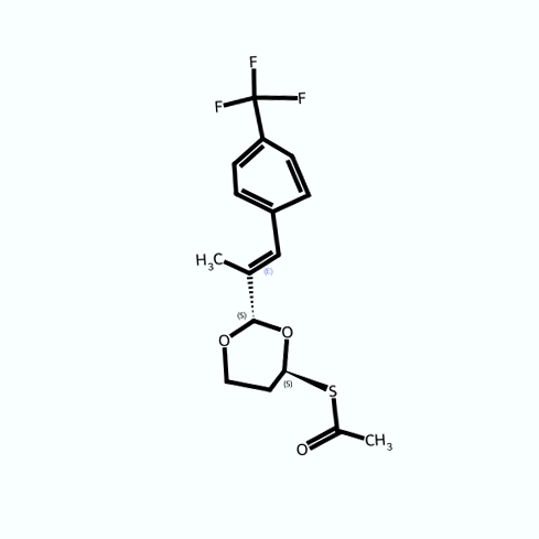 CC(=O)S[C@H]1CCO[C@H](/C(C)=C/c2ccc(C(F)(F)F)cc2)O1